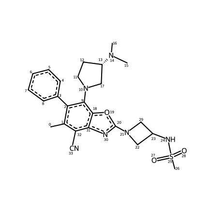 Cc1c(-c2ccccc2)c(N2CC[C@H](N(C)C)C2)c2oc(N3CC(NS(C)(=O)=O)C3)nc2c1C#N